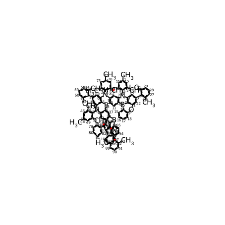 Cc1cc(C)c(N2c3cc4c(cc3B3c5ccccc5Oc5cc(-c6c(C)cccc6C)cc2c53)B2c3cc5c(cc3N(c3c(C)cc(C)cc3C)c3cc(-c6c(C)cccc6C)cc(c32)N4c2c(C)cc(C)cc2C)N(c2ccccc2)c2cc(-c3c(C)cccc3C)cc3c2B5c2cccc4c5ccccc5n-3c24)c(C)c1